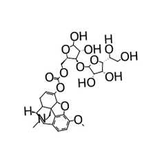 COc1ccc2c3c1OC1C(OC(=O)OC[C@H]4OC(O)[C@H](O)[C@H]4OC4O[C@H](C(O)CO)[C@H](O)[C@@H]4O)=CCC4[C@@H](C2)N(C)CC[C@]314